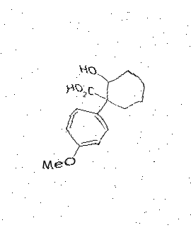 COc1ccc(C2(C(=O)O)CCCCC2O)cc1